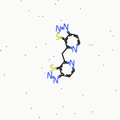 c1cc2nnsc2c(Cc2nccc3nnsc23)n1